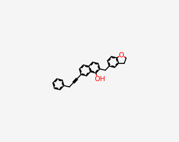 Oc1c(Cc2ccc3c(c2)CCO3)ccc2ccc(C#CCc3ccccc3)cc12